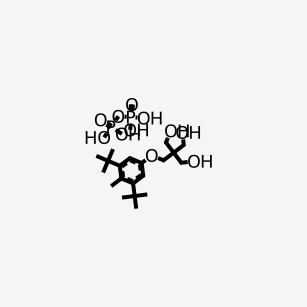 Cc1c(C(C)(C)C)cc(OCC(CO)(CO)CO)cc1C(C)(C)C.O=P(O)(O)OP(=O)(O)O